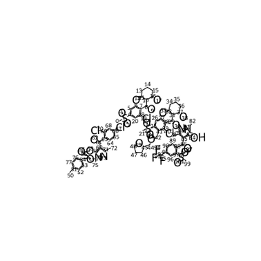 CS(=O)(=O)c1ccc(C(=O)C2C(=O)CCCC2=O)c(Cl)c1.CS(=O)(=O)c1ccc(C(=O)C2C(=O)CCCC2=O)c(Cl)c1COCC1CCCO1.Cc1ccc(S(=O)(=O)Oc2c(C(=O)c3ccc(Cl)cc3Cl)c(C)nn2C)cc1.Cc1nn(C)c(O)c1C(=O)c1ccc(C(F)(F)F)cc1S(C)(=O)=O